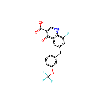 O=C(O)c1c[nH]c2c(F)cc(Cc3cccc(OC(F)(F)F)c3)cc2c1=O